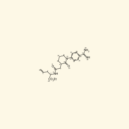 C=CCC(NC(=O)CC1CCCN(c2ccc(C(=N)N)cc2)C1=O)C(=O)OCC